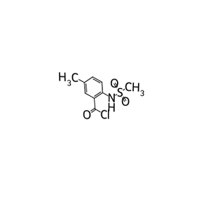 Cc1ccc(NS(C)(=O)=O)c(C(=O)Cl)c1